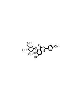 O=C1CC(c2ccc(O)cc2)Oc2cc(O)cc(O[C@@H]3O[C@H](CO)[C@@H](O)[C@H](O)[C@H]3O)c21